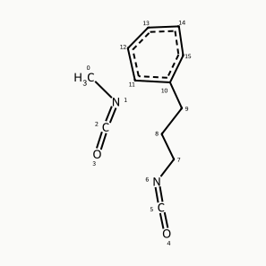 CN=C=O.O=C=NCCCc1ccccc1